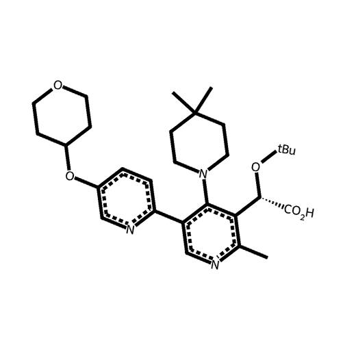 Cc1ncc(-c2ccc(OC3CCOCC3)cn2)c(N2CCC(C)(C)CC2)c1[C@H](OC(C)(C)C)C(=O)O